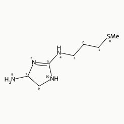 CSCCCNC1=NC(N)CN1